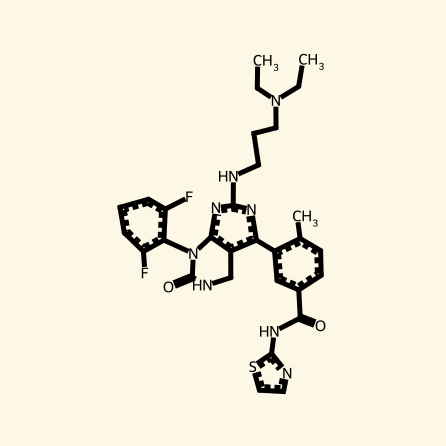 CCN(CC)CCCNc1nc(-c2cc(C(=O)Nc3nccs3)ccc2C)c2c(n1)N(c1c(F)cccc1F)C(=O)NC2